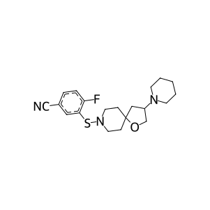 N#Cc1ccc(F)c(SN2CCC3(CC2)CC(N2CCCCC2)CO3)c1